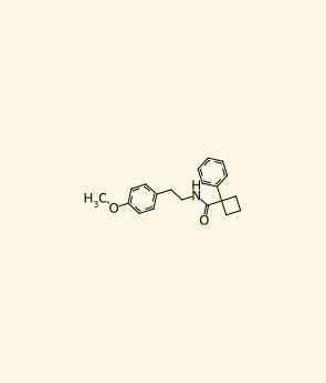 COc1ccc(CCNC(=O)C2(c3ccccc3)CCC2)cc1